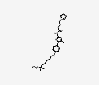 CCOC(=O)C(C)(C)CCCCCOc1ccc(-c2nc(NC(=O)CCCn3ccnc3)sc2C)cc1